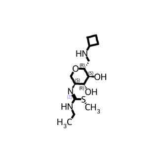 CCN/C(=N/[C@H]1CO[C@H](CNC2CCC2)[C@@H](O)[C@@H]1O)SC